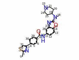 Cc1nc(-c2ccc(C(=O)Nc3ccc4oc(N(C)C5CCN(C)CC5)nc4c3)cc2)cs1